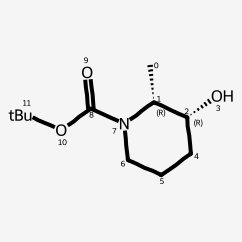 C[C@@H]1[C@H](O)CCCN1C(=O)OC(C)(C)C